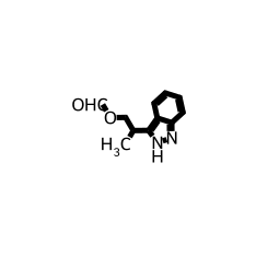 CC(COC=O)c1[nH]nc2ccccc12